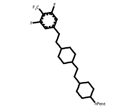 CCCCCC1CCC(CCC2CCC(CCc3cc(F)c(C(F)(F)F)c(F)c3)CC2)CC1